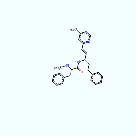 COc1ccnc(/C=C/[C@H](CCc2ccccc2)NC(=O)[C@H](Cc2ccccc2)NC(=O)O)c1